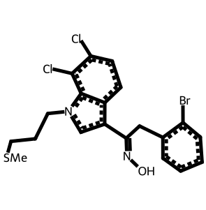 CSCCCn1cc(/C(Cc2ccccc2Br)=N/O)c2ccc(Cl)c(Cl)c21